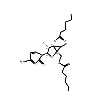 CCCCCC(=O)OC[C@@]12O[C@@H](n3ccc(N)nc3=O)[C@H](F)[C@@]1(OC(=O)CCCCC)C2Cl